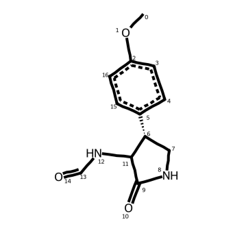 COc1ccc([C@@H]2CNC(=O)C2NC=O)cc1